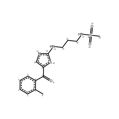 Cc1ccccc1C(=O)c1cnc(NCCCNS(C)(=O)=O)s1